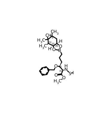 COC(=O)[C@@H](NSI)[C@H](CCCB1O[C@H]2[C@@H](C)C(C)(C)[C@@H](C)C[C@H]2O1)OCc1ccccc1